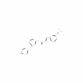 CC(C)(c1ccc2sc(C(=O)Nc3cc(Cl)cc(Oc4ccc(Cl)nc4)c3)cc2c1)S(C)(=O)=O